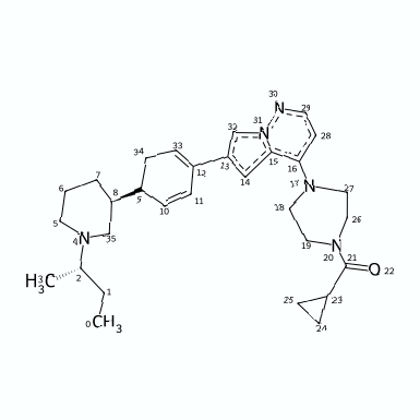 CC[C@H](C)N1CCC[C@@H](C2C=CC(c3cc4c(N5CCN(C(=O)C6CC6)CC5)ccnn4c3)=CC2)C1